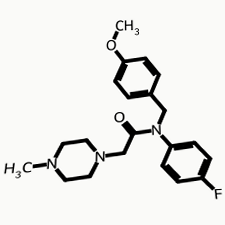 COc1ccc(CN(C(=O)CN2CCN(C)CC2)c2ccc(F)cc2)cc1